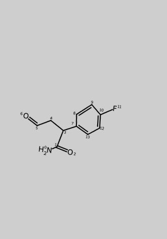 NC(=O)C(CC=O)c1ccc(F)cc1